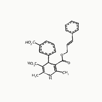 CC1=C(C(=O)O)C(c2cccc(C(=O)O)c2)C(C(=O)OCC=Cc2ccccc2)=C(C)N1